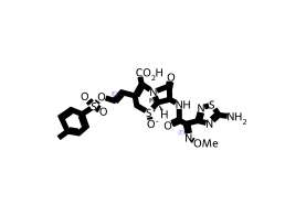 CO/N=C(/C(=O)NC1C(=O)N2C(C(=O)O)=C(/C=C/OS(=O)(=O)c3ccc(C)cc3)C[S+]([O-])[C@H]12)c1nsc(N)n1